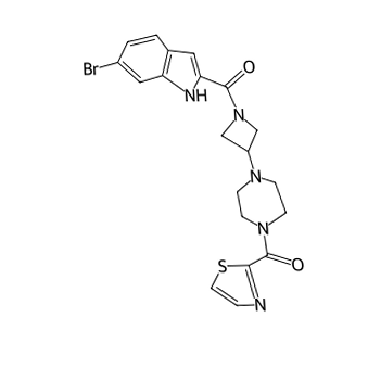 O=C(c1cc2ccc(Br)cc2[nH]1)N1CC(N2CCN(C(=O)c3nccs3)CC2)C1